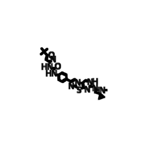 CNC1(CNc2ncc3c(n2)sc2nc(-c4ccc(NC(=O)Nc5cc(C(C)(C)C)on5)cc4)cn23)CC1